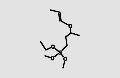 CC=COC(C)CC[Si](OC)(OC)OCC